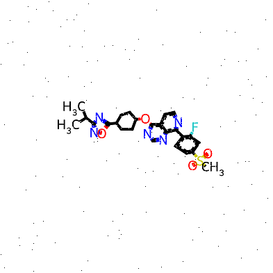 CC(C)c1noc(C2CCC(Oc3ncnc4c(-c5ccc(S(C)(=O)=O)cc5F)nccc34)CC2)n1